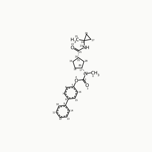 CN(C(=O)Oc1ccc(-c2ccccc2)cc1)[C@@H]1CC[C@H](C(=O)NC2(C)CC2)C1